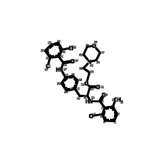 Cc1cccc(Cl)c1C(=O)N[C@@H](Cc1ccc(NC(=O)c2c(Cl)cccc2Cl)cc1)C(=O)OCCN1CCOCC1